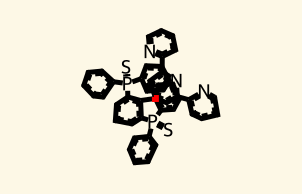 S=P(c1ccccc1)(c1ccccc1)c1cccc(P(=S)(c2ccccc2)c2ccccc2)c1-c1cc(-c2ccccn2)nc(-c2ccccn2)c1